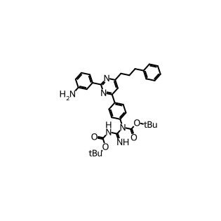 CC(C)(C)OC(=O)NC(=N)N(C(=O)OC(C)(C)C)c1ccc(-c2cc(CCCc3ccccc3)nc(-c3cccc(N)c3)n2)cc1